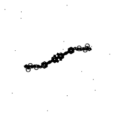 C=CC(=O)OCCOCCc1ccc(C#Cc2cc(C)c(-c3c(C)cc(C#Cc4ccc(CCOCCOC(=O)C=C)cc4)cc3C)c(C)c2)cc1